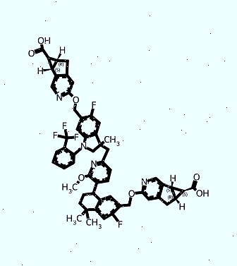 COc1nc(CC2(C)CN(c3ccccc3C(F)(F)F)c3cc(COc4cc5c(cn4)[C@@H]4C(C(=O)O)[C@@H]4C5)c(F)cc32)ccc1C1CCC(C)(C)c2cc(F)c(COc3cc4c(cn3)[C@H]3[C@@H](C4)[C@@H]3C(=O)O)cc21